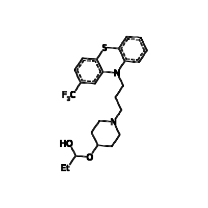 CCC(O)OC1CCN(CCCN2c3ccccc3Sc3ccc(C(F)(F)F)cc32)CC1